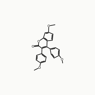 COc1ccc(-c2c(-c3ccc(OC)cc3)c3ccc(OC)cc3oc2=O)cc1